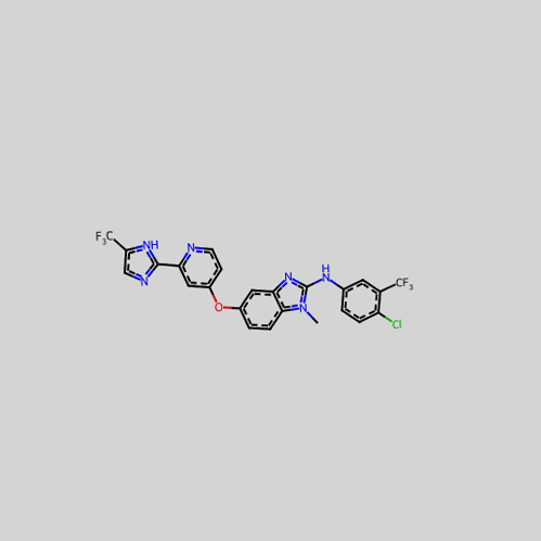 Cn1c(Nc2ccc(Cl)c(C(F)(F)F)c2)nc2cc(Oc3ccnc(-c4ncc(C(F)(F)F)[nH]4)c3)ccc21